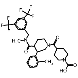 Cc1ccccc1C1CN(C(=O)C2CCN(C(=O)O)CC2)CCC1C(=O)N(C)Cc1cc(C(F)(F)F)cc(C(F)(F)F)c1